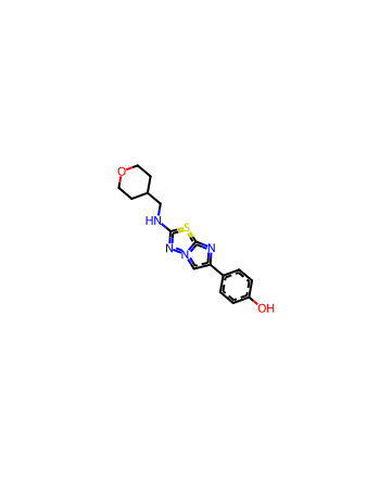 Oc1ccc(-c2cn3nc(NCC4CCOCC4)sc3n2)cc1